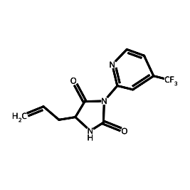 C=CCC1NC(=O)N(c2cc(C(F)(F)F)ccn2)C1=O